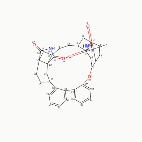 O=C1NC(=O)C23CC4CCC12CC3CCC1CC23CCC(CC12C(=O)NC3=O)c1ccccc1-c1ccccc1O4